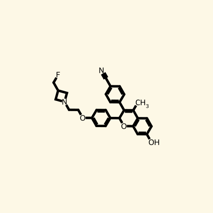 CC1=C(c2ccc(C#N)cc2)C(c2ccc(OCCN3CC(CF)C3)cc2)Oc2cc(O)ccc21